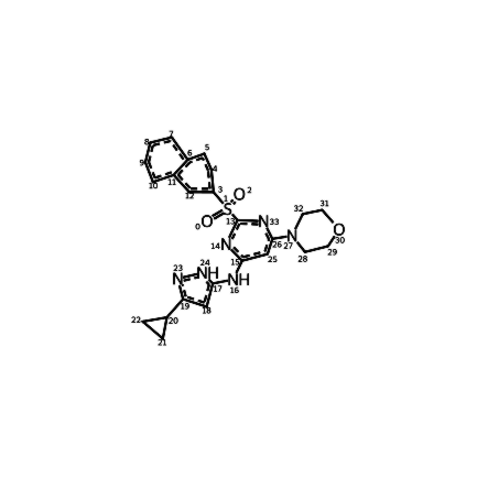 O=S(=O)(c1ccc2ccccc2c1)c1nc(Nc2cc(C3CC3)n[nH]2)cc(N2CCOCC2)n1